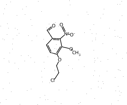 COc1c(OCCCl)ccc(C=O)c1[N+](=O)[O-]